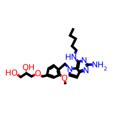 CCCCCNc1nc(N)nc2ccn(Cc3ccc(COC[C@@H](O)CO)cc3OC)c12